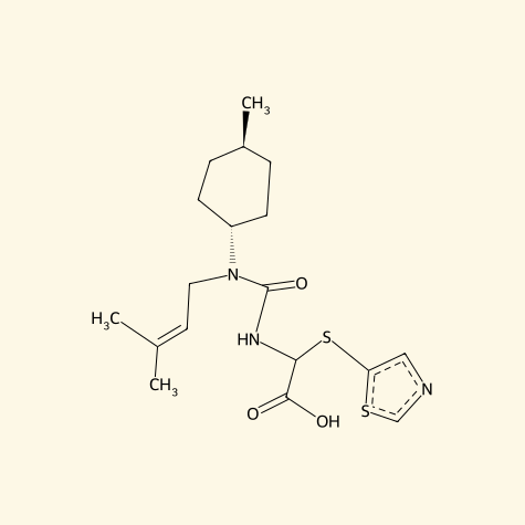 CC(C)=CCN(C(=O)NC(Sc1cncs1)C(=O)O)[C@H]1CC[C@H](C)CC1